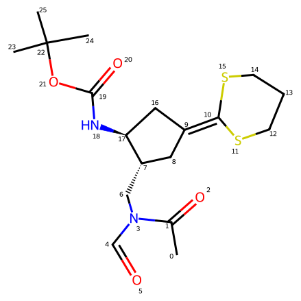 CC(=O)N(C=O)C[C@H]1CC(=C2SCCCS2)C[C@@H]1NC(=O)OC(C)(C)C